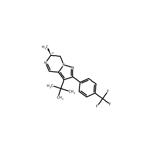 C[C@H]1Cn2nc(-c3ccc(C(F)(F)F)cc3)c(C(C)(C)C)c2C=N1